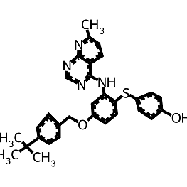 Cc1ccc2c(Nc3cc(OCc4ccc(C(C)(C)C)cc4)ccc3Sc3ccc(O)cc3)ncnc2n1